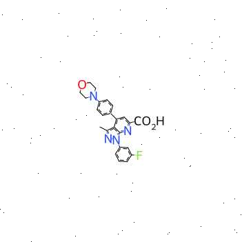 Cc1nn(-c2cccc(F)c2)c2nc(C(=O)O)cc(-c3ccc(N4CCOCC4)cc3)c12